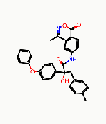 Cc1ccc(CC(O)(C(=O)Nc2ccc3c(=O)onc(C)c3c2)c2ccc(Oc3ccccc3)cc2)cc1